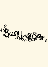 O=C1Cc2c(cccc2OC[C@@H](O)CNCC2CCN(S(=O)(=O)c3ccc(OC(F)(F)F)cc3)CC2)N1